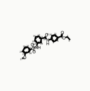 CCOC(=O)c1ccc(NC(=O)c2cccc(NS(=O)(=O)c3cccc(OC)c3)c2)cc1